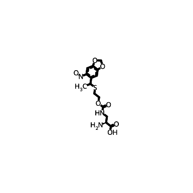 CC(SCCOC(=O)NC[C@H](N)C(=O)O)c1cc2c(cc1N=O)OCO2